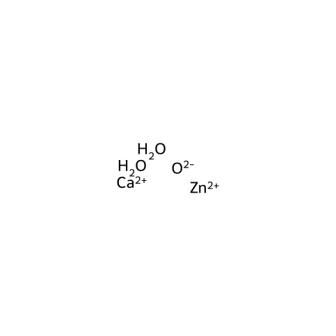 O.O.[Ca+2].[O-2].[Zn+2]